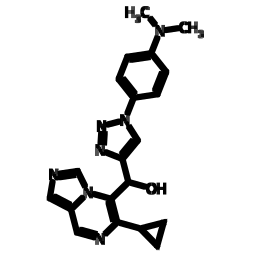 CN(C)c1ccc(-n2cc(C(O)c3c(C4CC4)ncc4cncn34)nn2)cc1